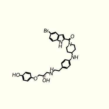 O=C(c1cc2cc(Br)ccc2[nH]1)N1CCC(Nc2ccc(CCNC[C@H](O)COc3ccc(O)cc3)cc2)CC1